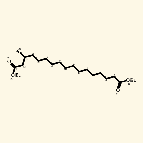 CC(C)COC(=O)CCCCCCCCCCCCCC(CC(=O)OCC(C)C)C(C)C